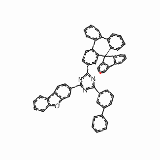 c1ccc(-c2cccc(-c3nc(-c4ccc5c(c4)C4(c6ccccc6-c6ccccc6-5)c5ccccc5-c5ccccc54)nc(-c4ccc5c(c4)oc4ccccc45)n3)c2)cc1